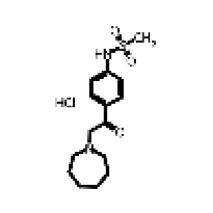 CS(=O)(=O)Nc1ccc(C(=O)CN2CCCCCC2)cc1.Cl